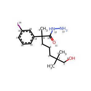 CC(C)(CO)CCCC(C)(C(=O)NN)c1cccc(I)c1